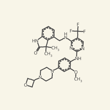 COc1cc(N2CCN(C3COC3)CC2)ccc1Nc1ncc(C(F)(F)F)c(NCc2cccc3c2C(C)(C)C(=O)N3)n1